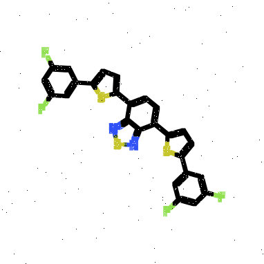 Fc1cc(F)cc(-c2ccc(-c3ccc(-c4ccc(-c5cc(F)cc(F)c5)s4)c4nsnc34)s2)c1